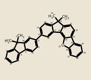 CC1(C)c2ccccc2-c2ccc(-c3ccc4c(c3)-c3c(ccc5c3oc3ccccc35)C4(C)C)cc21